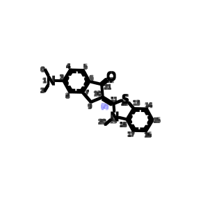 CN(C)c1ccc2c(c1)C/C(=C1/Sc3ccccc3N1C)C2=O